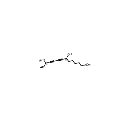 C=C[C@H](C#CC#C[C@@H](O)CCCCCCCCCCCCCCC)OC(C)=O